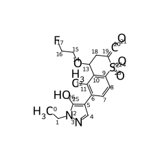 CCn1ncc(-c2ccc3c(c2C)C(OCCF)CC(=C=O)S3(=O)=O)c1O